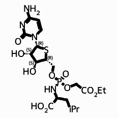 CCOC(=O)COP(=O)(NC(CC(C)C)C(=O)O)OC[C@H]1S[C@@H](n2ccc(N)nc2=O)[C@@H](O)[C@@H]1O